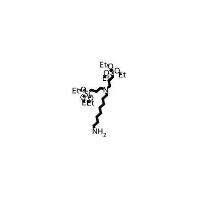 CCO[Si](CCCN(CCCCCCCCN)CCC[Si](OCC)(OCC)OCC)(OCC)OCC